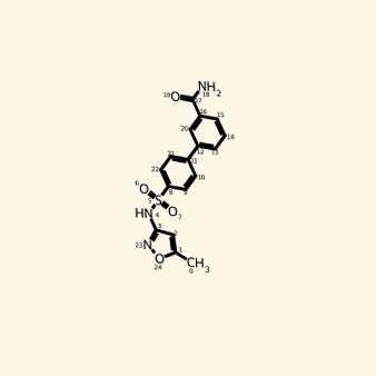 Cc1cc(NS(=O)(=O)c2ccc(-c3cccc(C(N)=O)c3)cc2)no1